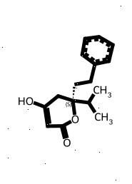 CC(C)[C@]1(CCc2ccccc2)CC(O)=CC(=O)O1